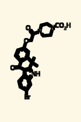 CC1(C)c2cc(OCC(=O)N3CCN(C(=O)O)CC3)ccc2C(=O)c2c1[nH]c1cc(Br)ccc21